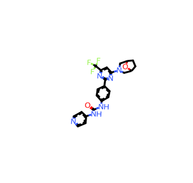 O=C(Nc1ccncc1)Nc1ccc(-c2nc(N3CC4CCC(C3)O4)cc(C(F)(F)F)n2)cc1